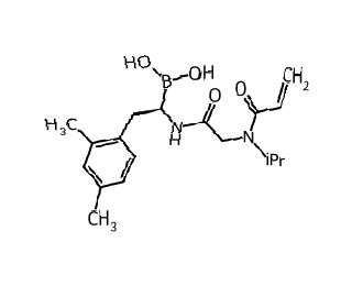 C=CC(=O)N(CC(=O)N[C@@H](Cc1ccc(C)cc1C)B(O)O)C(C)C